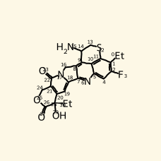 CCc1c(F)cc2nc3c(c4c2c1SCC4N)Cn1c-3cc2c(c1=O)COC(=O)[C@]2(O)CC